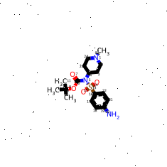 CN1CCC(N(C(=O)OC(C)(C)C)S(=O)(=O)c2ccc(N)cc2)CC1